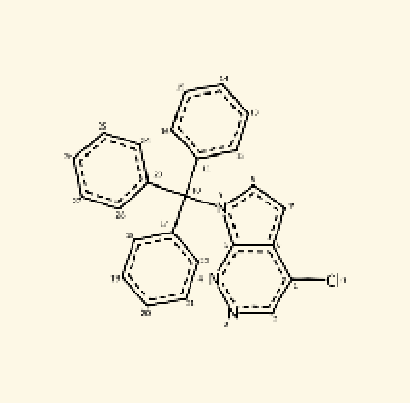 Clc1cnnc2c1ccn2C(c1ccccc1)(c1ccccc1)c1ccccc1